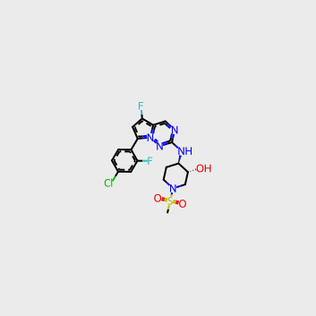 CS(=O)(=O)N1CC[C@@H](Nc2ncc3c(F)cc(-c4ccc(Cl)cc4F)n3n2)[C@H](O)C1